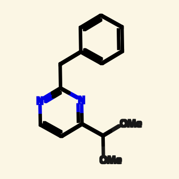 COC(OC)c1ccnc(Cc2ccccc2)n1